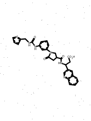 O=C(O)CC(NC(=O)C1CC(=O)N(c2cccc(NC(=O)NCc3cccs3)c2)C1)c1cnc2ccccc2c1